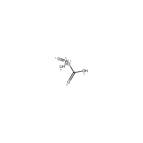 O=C(O)O.[LiH].[O]=[W]